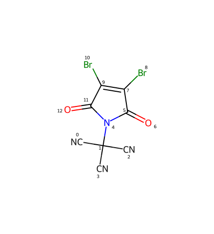 N#CC(C#N)(C#N)N1C(=O)C(Br)=C(Br)C1=O